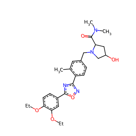 CCOc1ccc(-c2nc(-c3ccc(CN4CC(O)CC4C(=O)N(C)C)cc3C)no2)cc1OCC